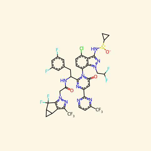 O=C(Cn1nc(C(F)(F)F)c2c1C(F)(F)C1CC21)NC(Cc1cc(F)cc(F)c1)c1nc(-c2nccc(C(F)(F)F)n2)cc(=O)n1-c1ccc(Cl)c2c(N[S+]([O-])C3CC3)nn(CC(F)F)c12